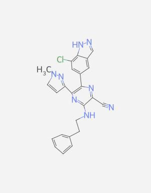 Cn1ccc(-c2nc(NCCc3ccccc3)c(C#N)nc2-c2cc(Cl)c3[nH]ncc3c2)n1